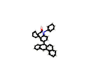 O=c1c2ccccc2c2cc(-c3c4ccccc4cc4c3ccc3ccccc34)ccc2n1-c1ccccc1